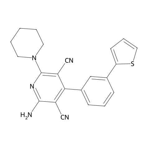 N#Cc1c(N)nc(N2CCCCC2)c(C#N)c1-c1cccc(-c2cccs2)c1